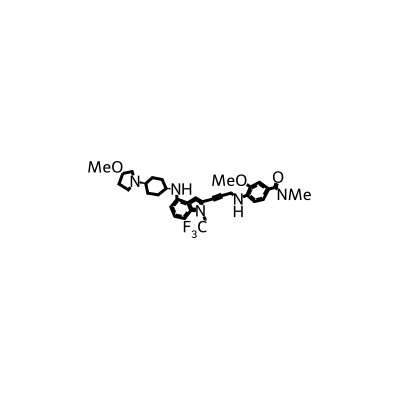 CNC(=O)c1ccc(NCC#Cc2cc3c(N[C@H]4CC[C@H](N5CCC(OC)C5)CC4)cccc3n2CC(F)(F)F)c(OC)c1